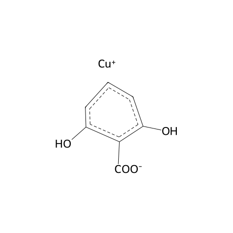 O=C([O-])c1c(O)cccc1O.[Cu+]